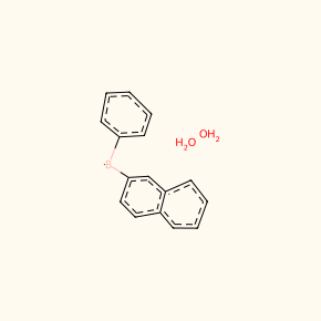 O.O.[B](c1ccccc1)c1ccc2ccccc2c1